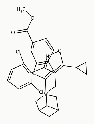 COC(=O)c1ccc2nc(N3CC4CC(C3)C4OCc3c(-c4c(Cl)cccc4Cl)noc3C3CC3)sc2c1